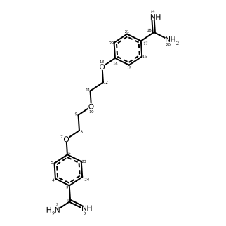 N=C(N)c1ccc(OCCOCCOc2ccc(C(=N)N)cc2)cc1